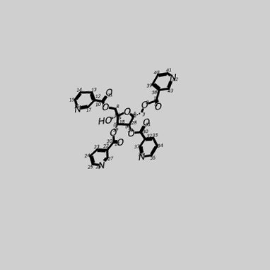 O=C(OC[C@H]1O[C@](O)(COC(=O)c2cccnc2)[C@@H](OC(=O)c2cccnc2)[C@@H]1OC(=O)c1cccnc1)c1cccnc1